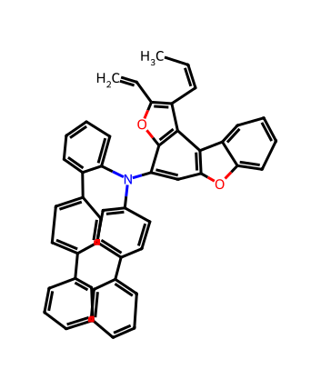 C=Cc1oc2c(N(c3ccc(-c4ccccc4)cc3)c3ccccc3-c3ccc(-c4ccccc4)cc3)cc3oc4ccccc4c3c2c1/C=C\C